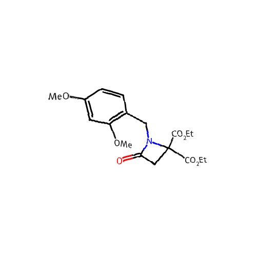 CCOC(=O)C1(C(=O)OCC)CC(=O)N1Cc1ccc(OC)cc1OC